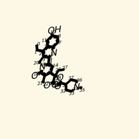 CCc1c2c(nc3ccc(O)cc13)-c1cc3c(c(=O)n1C2)COC(=O)C3(CC)OC(=O)C1CCN(C)CC1